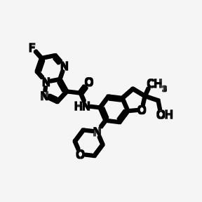 CC1(CO)Cc2cc(NC(=O)c3cnn4cc(F)cnc34)c(N3CCOCC3)cc2O1